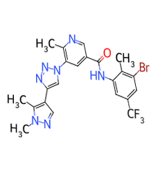 Cc1ncc(C(=O)Nc2cc(C(F)(F)F)cc(Br)c2C)cc1-n1cc(-c2cnn(C)c2C)nn1